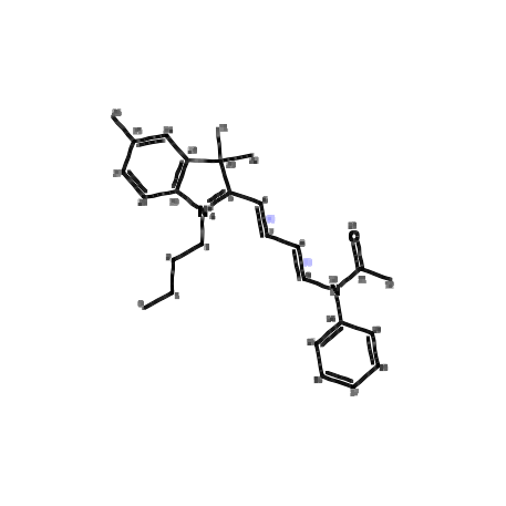 CCCC[N+]1=C(/C=C/C=C/N(C(C)=O)c2ccccc2)C(C)(C)c2cc(C)ccc21